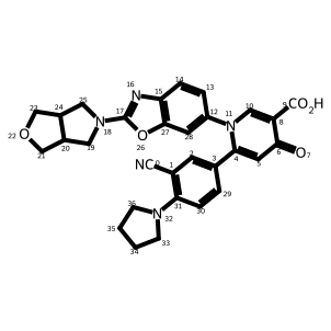 N#Cc1cc(-c2cc(=O)c(C(=O)O)cn2-c2ccc3nc(N4CC5COCC5C4)oc3c2)ccc1N1CCCC1